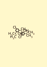 CCC(C)c1cc(Cl)cc(C(C)c2cc(Cl)cc(C(C)CC)c2O)c1O